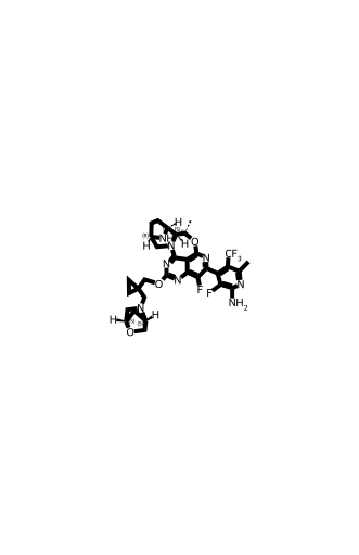 Cc1nc(N)c(F)c(-c2nc3c4c(nc(OCC5(CN6C[C@@H]7C[C@H]6CO7)CC5)nc4c2F)N2C[C@H]4CC[C@H](N4)[C@H]2[C@H](C)O3)c1C(F)(F)F